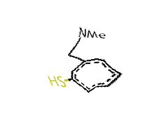 CNCc1ccccc1S